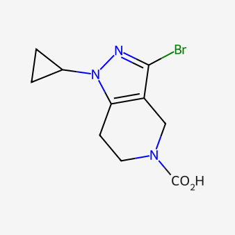 O=C(O)N1CCc2c(c(Br)nn2C2CC2)C1